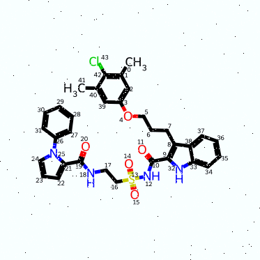 Cc1cc(OCCCc2c(C(=O)NS(=O)(=O)CCNC(=O)c3cccn3-c3ccccc3)[nH]c3ccccc23)cc(C)c1Cl